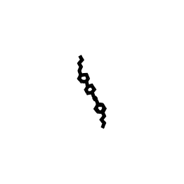 CCCCCC1CCC(C2CCC(C#Cc3ccc(CCCC)cc3)CC2)CC1